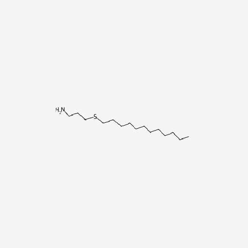 CCCCCCCCCCCCSCCCN